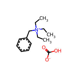 CC[N+](CC)(CC)Cc1ccccc1.O=C([O-])O